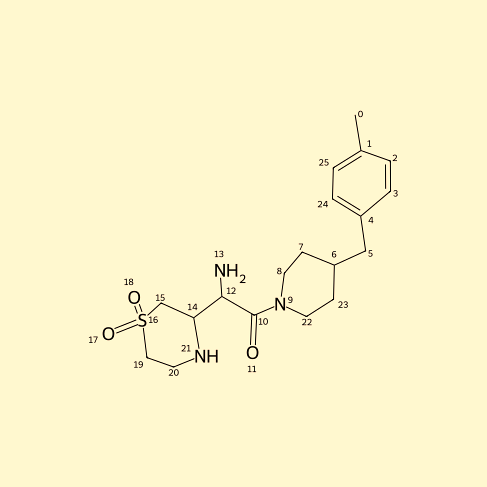 Cc1ccc(CC2CCN(C(=O)C(N)C3CS(=O)(=O)CCN3)CC2)cc1